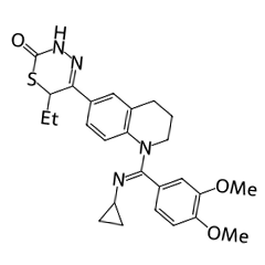 CCC1SC(=O)NN=C1c1ccc2c(c1)CCCN2C(=NC1CC1)c1ccc(OC)c(OC)c1